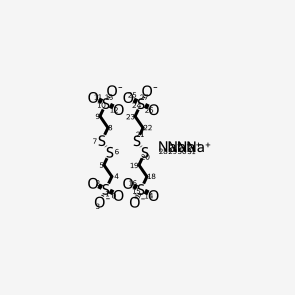 O=S(=O)([O-])CCSSCCS(=O)(=O)[O-].O=S(=O)([O-])CCSSCCS(=O)(=O)[O-].[Na+].[Na+].[Na+].[Na+]